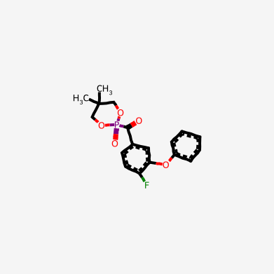 CC1(C)COP(=O)(C(=O)c2ccc(F)c(Oc3ccccc3)c2)OC1